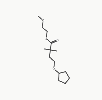 COCCSC(=O)C(C)(C)CCOC1CCCC1